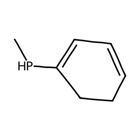 CPC1=CC=CCC1